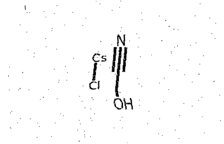 N#CO.[Cl][Cs]